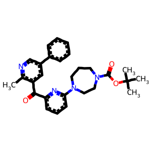 Cc1ncc(-c2ccccc2)cc1C(=O)c1cccc(N2CCCN(C(=O)OC(C)(C)C)CC2)n1